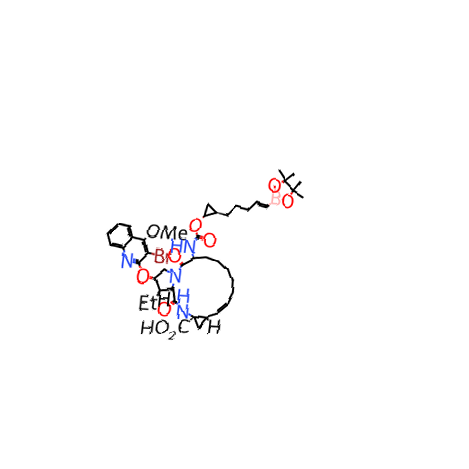 CCC1[C@@H](Oc2nc3ccccc3c(OC)c2Br)CN2C(=O)[C@@H](NC(=O)O[C@@H]3C[C@H]3CCCC=CB3OC(C)(C)C(C)(C)O3)CCCCCC=C[C@@H]3C[C@@]3(C(=O)O)NC(=O)[C@H]12